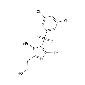 CCCn1c(CCO)nc(C(C)C)c1S(=O)(=O)c1cc(Cl)cc(Cl)c1